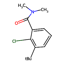 CN(C)C(=O)c1cccc(C(C)(C)C)c1Cl